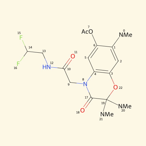 CNc1cc2c(cc1OC(C)=O)N(CC(=O)NCC(F)F)C(=O)C(NC)(NC)O2